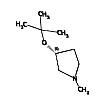 CN1CC[C@@H](OC(C)(C)C)C1